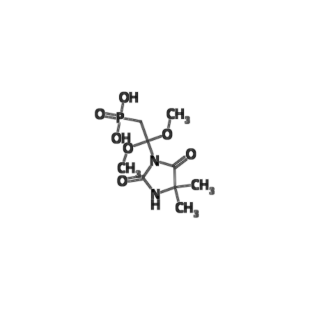 COC(CP(=O)(O)O)(OC)N1C(=O)NC(C)(C)C1=O